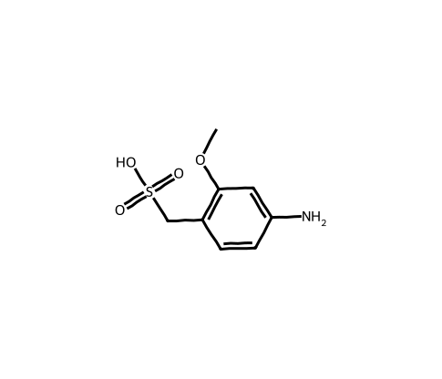 COc1cc(N)ccc1CS(=O)(=O)O